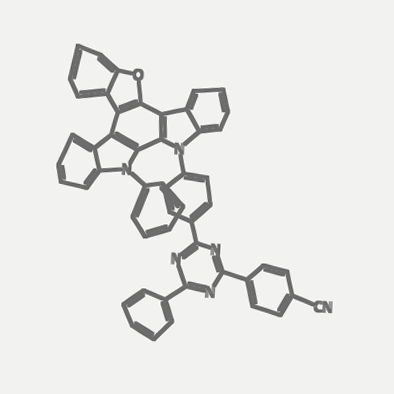 N#Cc1ccc(-c2nc(-c3ccccc3)nc(-c3ccc(-n4c5ccccc5c5c6oc7ccccc7c6c6c7ccccc7n(-c7ccccc7)c6c54)cc3)n2)cc1